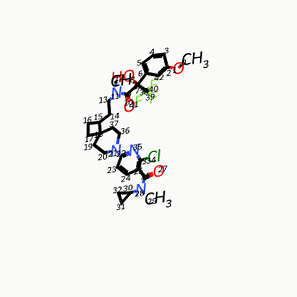 COc1cccc(C(O)(C(=O)N(C)CCC2CCC23CCN(c2ccc(C(=O)N(C)C4CC4)c(Cl)n2)CC3)C(F)(F)F)c1